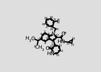 CC(C)c1ccc2c(c1)c(-c1ccc[nH]c1=O)c(C(=O)NC1CC1)n2Cc1ccccc1F